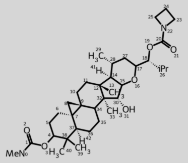 CNC(=O)OC1CC[C@]23C[C@]24CC[C@]2(C)[C@@H]5C(OC([C@H](OC(=O)N6CCC6)C(C)C)C[C@H]5C)[C@H](O)[C@@]2(C)C4CC[C@H]3C1(C)C